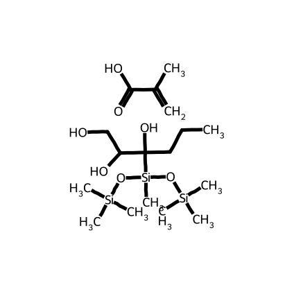 C=C(C)C(=O)O.CCCC(O)(C(O)CO)[Si](C)(O[Si](C)(C)C)O[Si](C)(C)C